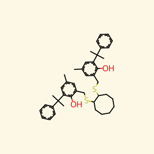 Cc1cc(CSC2CCCCCC[C@@H]2SCc2cc(C)cc(C(C)(C)c3ccccc3)c2O)c(O)c(C(C)(C)c2ccccc2)c1